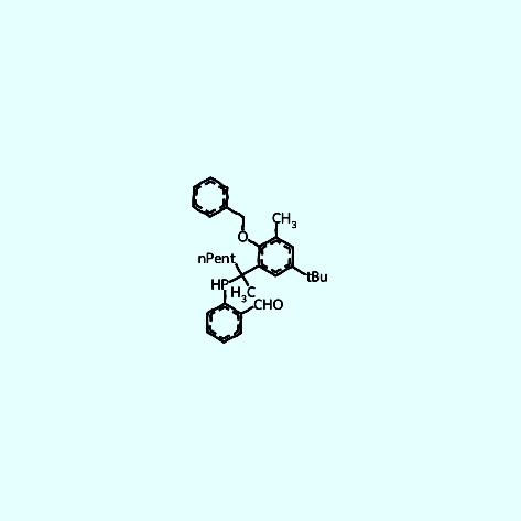 CCCCCC(C)(Pc1ccccc1C=O)c1cc(C(C)(C)C)cc(C)c1OCc1ccccc1